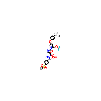 CCS(=O)(=O)c1ccc([C@H](CO)NC(=O)c2cnc(N3C[C@@H](Oc4ccc(C(F)(F)F)cc4)C[C@H]3COC(F)F)o2)cc1